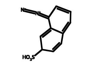 [N-]=[N+]=C1C=CC=C2C=CC(S(=O)(=O)O)C=C21